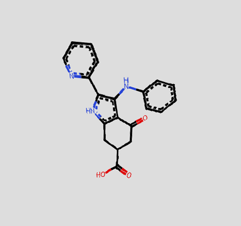 O=C1CC(C(=O)O)Cc2[nH]c(-c3ccccn3)c(Nc3ccccc3)c21